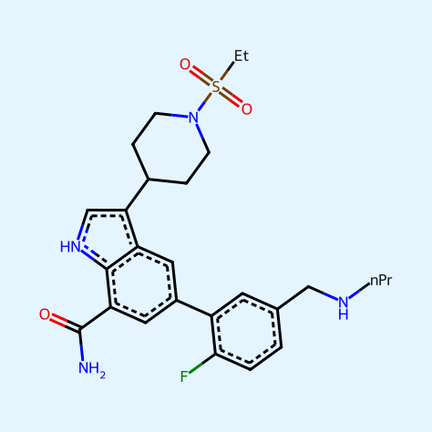 CCCNCc1ccc(F)c(-c2cc(C(N)=O)c3[nH]cc(C4CCN(S(=O)(=O)CC)CC4)c3c2)c1